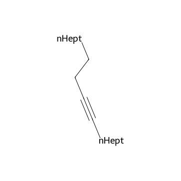 CCCCCCCC#CCCCCCCCCC